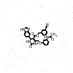 CC(=O)Nc1cccc(OCC2=C(C(=O)OCc3cccc(C#N)c3)C(c3ccc4[nH]cnc4c3)NC(=O)N2)c1